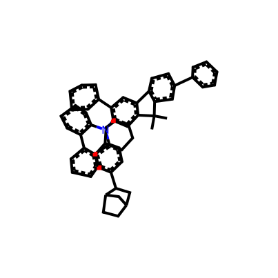 CC1(C)c2cc(-c3ccccc3)ccc2-c2cc(-c3ccccc3)c(N(c3ccc(C4CC5CCC4C5)cc3)c3ccccc3-c3ccccc3C3CCCCC3)cc21